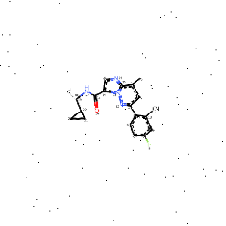 Cc1cc(-c2ccc(F)cc2C#N)nn2c(C(=O)N[C@@H](C)C3CC3)cnc12